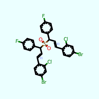 O=S(=O)(C(/C=C/c1ccc(Br)cc1Cl)c1ccc(F)cc1)C(/C=C/c1ccc(Br)cc1Cl)c1ccc(F)cc1